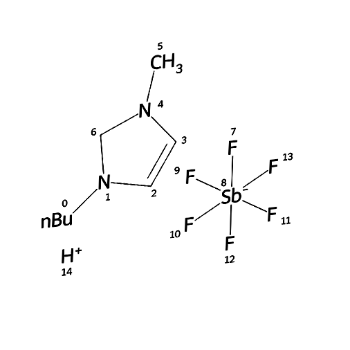 CCCCN1C=CN(C)C1.[F][Sb-]([F])([F])([F])([F])[F].[H+]